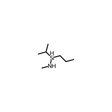 CCC[SiH](NC)C(C)C